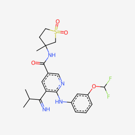 CC(C)C(=N)c1cc(C(=O)NC2(C)CCS(=O)(=O)C2)cnc1Nc1cccc(OC(F)F)c1